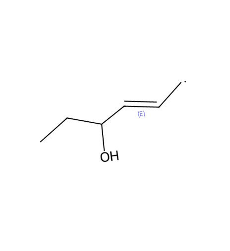 [CH2]/C=C/C(O)CC